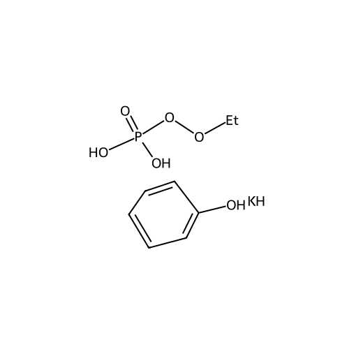 CCOOP(=O)(O)O.Oc1ccccc1.[KH]